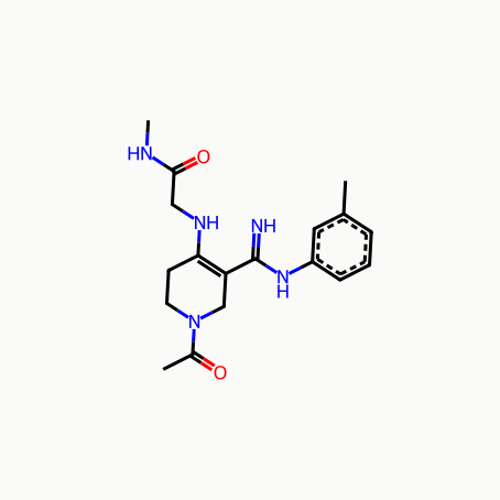 CNC(=O)CNC1=C(C(=N)Nc2cccc(C)c2)CN(C(C)=O)CC1